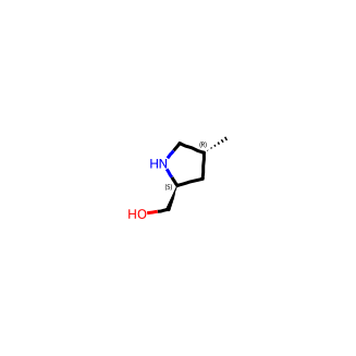 C[C@H]1CN[C@H](CO)C1